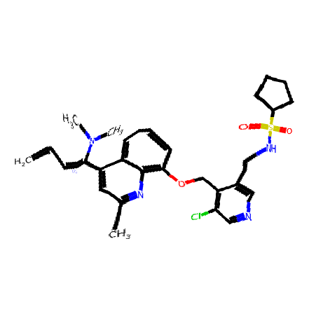 C=C/C=C(/c1cc(C)nc2c(OCc3c(Cl)cncc3CNS(=O)(=O)C3CCCC3)cccc12)N(C)C